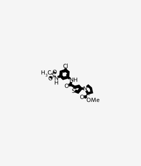 COC(=O)[C@@H]1CCCN1c1csc(C(=O)Nc2cc(Cl)cc(NS(C)(=O)=O)c2)c1